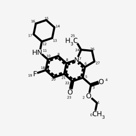 CCOC(=O)c1c2n(c3cc(NC4CCCCC4)c(F)cc3c1=O)C(C)CC2